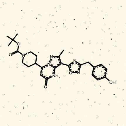 Cc1nn2c(C3CCN(C(=O)OC(C)(C)C)CC3)cc(=O)[nH]c2c1-c1nc(Cc2ccc(O)cc2)no1